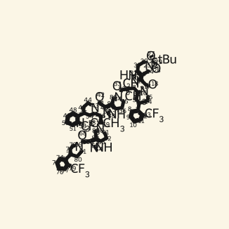 CC(C)(CC1CC(c2ccccc2C(F)(F)F)CCN1C(=O)c1n[nH]c2c1CN(S(=O)(=O)C(C)(C)C)CC2)C(=O)N1CCc2[nH]nc(C(=O)N3CCC(c4ccccc4C(F)(F)F)CC3CC(C)(C)N3CCc4[nH]nc(C(=O)N5CCC(c6ccccc6C(F)(F)F)CC5)c4C3)c2C1